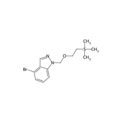 CS(C)(C)CCOCn1ncc2c(Br)cccc21